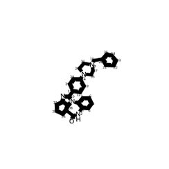 O=C1Nc2ccccc2-n2c(-c3ccc(N4CCN(Cc5ccccc5)CC4)cc3)nc3cccc1c32